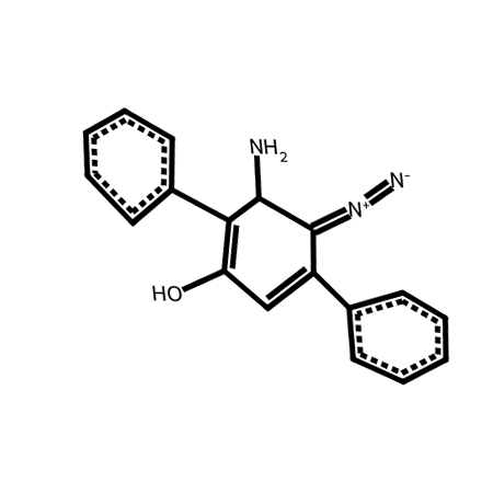 [N-]=[N+]=C1C(c2ccccc2)=CC(O)=C(c2ccccc2)C1N